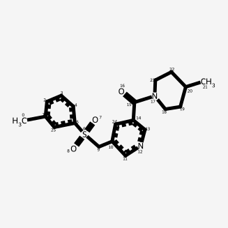 Cc1cccc(S(=O)(=O)Cc2cncc(C(=O)N3CCC(C)CC3)c2)c1